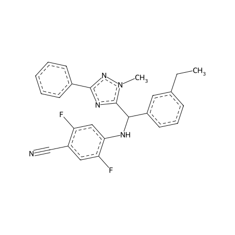 CCc1cccc(C(Nc2cc(F)c(C#N)cc2F)c2nc(-c3ccccc3)nn2C)c1